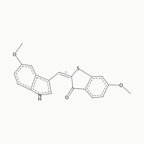 COc1ccc2c(c1)S/C(=C/c1c[nH]c3ccc(OC)cc13)C2=O